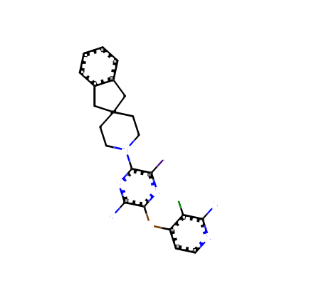 Nc1nc(N2CCC3(CC2)Cc2ccccc2C3)c(I)nc1Sc1ccnc(N)c1Cl